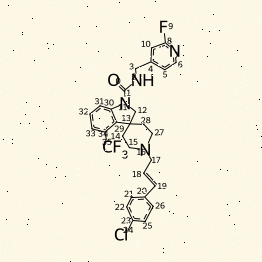 O=C(NCc1ccnc(F)c1)N1CC2(CCN(CC=Cc3ccc(Cl)cc3)CC2)c2c1cccc2C(F)(F)F